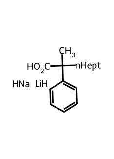 CCCCCCCC(C)(C(=O)O)c1ccccc1.[LiH].[NaH]